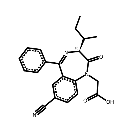 CCC(C)[C@@H]1N=C(c2ccccc2)c2cc(C#N)ccc2N(CC(=O)O)C1=O